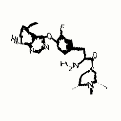 Cc1c[nH]c2ncnc(Oc3ccc(CC(N)C(=O)N4C[C@@H](C)N(C)[C@@H](C)C4)cc3F)c12